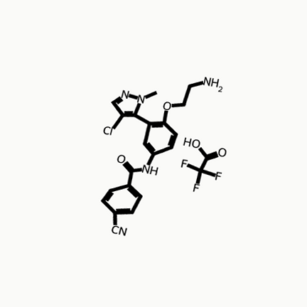 Cn1ncc(Cl)c1-c1cc(NC(=O)c2ccc(C#N)cc2)ccc1OCCN.O=C(O)C(F)(F)F